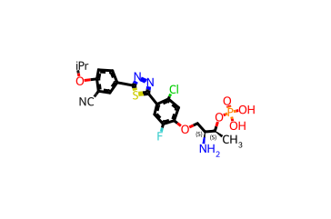 CC(C)Oc1ccc(-c2nnc(-c3cc(F)c(OC[C@H](N)[C@H](C)OP(=O)(O)O)cc3Cl)s2)cc1C#N